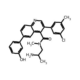 Cc1cc(Cl)cc(-c2cnc3ccc(-c4cccc(O)c4)cc3c2C(=O)N(C)CC(C)N)c1